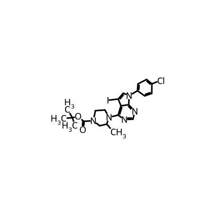 CC1CN(C(=O)OC(C)(C)C)CCN1c1ncnc2c1c(I)cn2-c1ccc(Cl)cc1